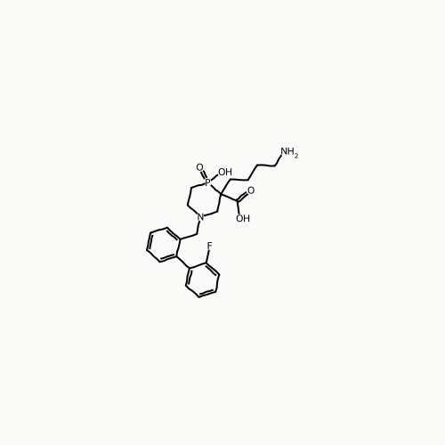 NCCCCC1(C(=O)O)CN(Cc2ccccc2-c2ccccc2F)CCP1(=O)O